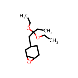 CCOC(CC)(CC1CCC2OC2C1)OCC